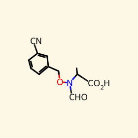 CC(C(=O)O)N(C=O)OCc1cccc(C#N)c1